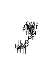 COC(=O)N[C@H](C(=O)N1[C@@H]2C[C@@H]2C[C@H]1c1ncc(-c2ccc(-c3ccc4c(ccc5[nH]c([C@@H]6C[C@H]7C[C@H]7N6)nc54)c3)cc2F)[nH]1)C(C)C